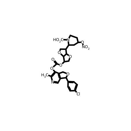 Cc1ncc2c(c1OC(=O)OC1COC3C(C4CC(O[N+](=O)[O-])CCN4C(=O)O)COC13)COC2c1ccc(Cl)cc1